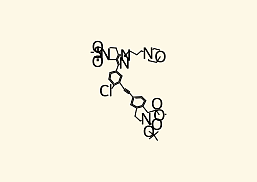 COC(=O)C1c2ccc(C#Cc3cc(-c4nn(CCCN5CCOCC5)c5c4CN(S(C)(=O)=O)CC5)ccc3Cl)cc2CCN1C(=O)OC(C)(C)C